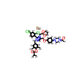 CC(=O)N1CCN(c2ccc(OCc3c[n+](Cc4cc(C)c(OC(=O)C(C)C)c(C)c4)c(-c4ccc(Cl)cc4Cl)n3CC3OCCCO3)cc2)CC1.[Br-]